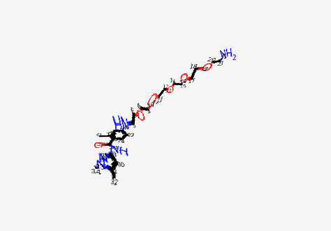 Cc1cc(NCCOCCOCCOCCOCCOCCN)ccc1C(=O)Nc1cc(C)n(C)n1